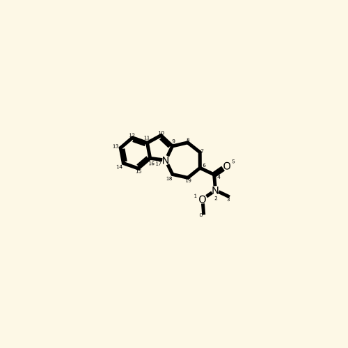 CON(C)C(=O)C1CCc2cc3ccccc3n2CC1